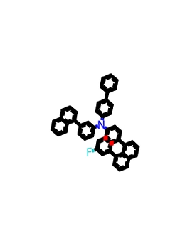 Fc1cccc(-c2cccc3cccc(-c4ccc(N(c5ccc(-c6ccccc6)cc5)c5cccc(-c6cccc7ccccc67)c5)cc4)c23)c1